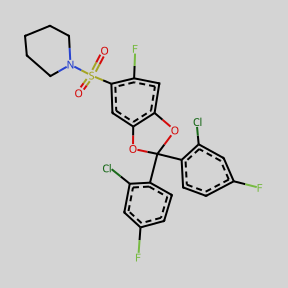 O=S(=O)(c1cc2c(cc1F)OC(c1ccc(F)cc1Cl)(c1ccc(F)cc1Cl)O2)N1CCCCC1